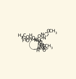 COc1ccc2nc(C)c(O[C@@H]3C[C@H]4C(=O)N[C@]5(C(=O)NS(=O)(=O)C6(C)CC6)C[C@H]5/C=C\CCCCC[C@H](NC(=O)O[C@@H](C)C(F)(F)F)C(=O)N4C3)nc2c1